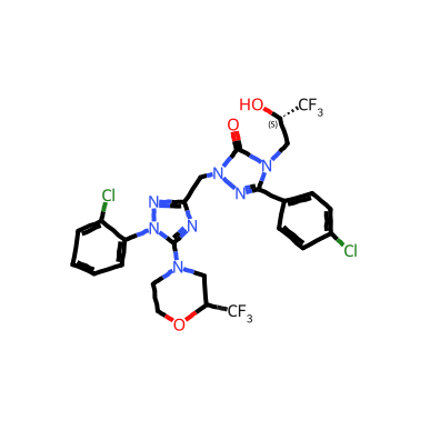 O=c1n(Cc2nc(N3CCOC(C(F)(F)F)C3)n(-c3ccccc3Cl)n2)nc(-c2ccc(Cl)cc2)n1C[C@H](O)C(F)(F)F